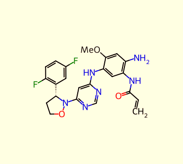 C=CC(=O)Nc1cc(Nc2cc(N3OCC[C@@H]3c3cc(F)ccc3F)ncn2)c(OC)cc1N